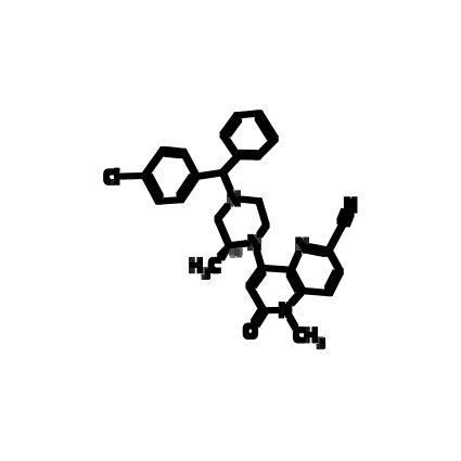 C[C@H]1CN(C(c2ccccc2)c2ccc(Cl)cc2)CCN1c1cc(=O)n(C)c2ccc(C#N)nc12